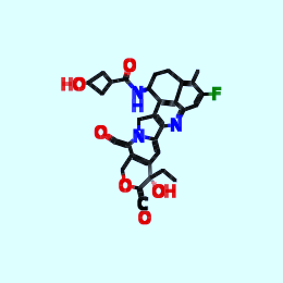 CC[C@@]1(O)C(=C=O)OCC2=C1C=C1c3nc4cc(F)c(C)c5c4c(c3CN1C2=C=O)[C@@H](NC(=O)C1CC(O)C1)CC5